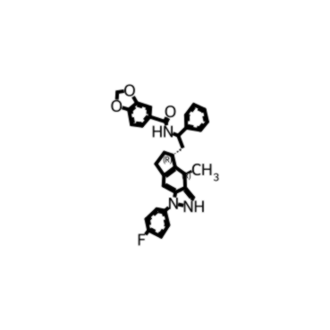 C[C@H]1C2=CNN(c3ccc(F)cc3)C2=CC2=C1[C@@H](CC(NC(=O)c1ccc3c(c1)OCO3)c1ccccc1)CC2